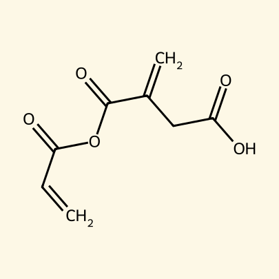 C=CC(=O)OC(=O)C(=C)CC(=O)O